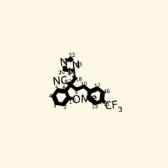 COc1ccccc1C(C#N)(CCc1ccc(C(F)(F)F)cc1)Cn1cncn1